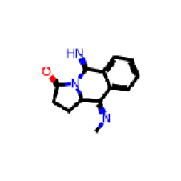 CN=C1c2ccccc2C(=N)N2C(=O)CCC12